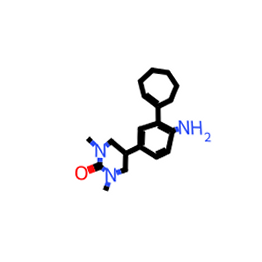 CN1CC(c2ccc(N)c(C3=CCCCCC3)c2)CN(C)C1=O